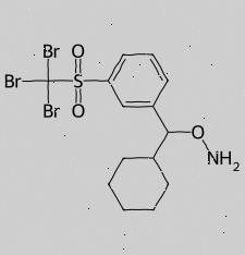 NOC(c1cccc(S(=O)(=O)C(Br)(Br)Br)c1)C1CCCCC1